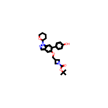 CC(C)(C)OC(=O)N1CC(COc2cc3cnn(C4CCCCO4)c3cc2-c2ccc(O)cc2)C1